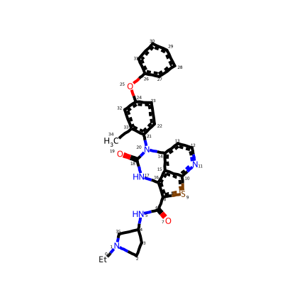 CCN1CCC(NC(=O)c2sc3nccc4c3c2NC(=O)N4c2ccc(Oc3ccccc3)cc2C)C1